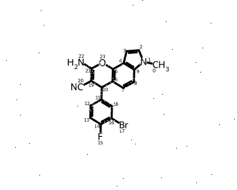 Cn1ccc2c3c(ccc21)C(c1ccc(F)c(Br)c1)C(C#N)=C(N)O3